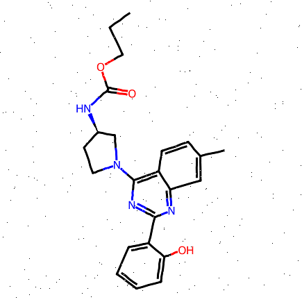 CCCOC(=O)N[C@@H]1CCN(c2nc(-c3ccccc3O)nc3cc(C)ccc23)C1